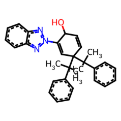 CC(C)(c1ccccc1)C1(C(C)(C)c2ccccc2)C=CC(O)C(n2nc3ccccc3n2)=C1